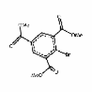 COC(=O)c1cc(C(=O)OC)c(Br)c(C(=O)OC)c1